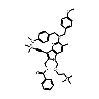 COc1ccc(CN(Cc2ccc(OC)cc2)c2nc3c(C#C[Si](C)(C)C)c(CNC(=O)c4ccccc4)n(COCC[Si](C)(C)C)c3cc2C)cc1